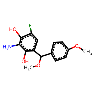 COc1ccc(C(OC)c2cc(F)c(O)c(N)c2O)cc1